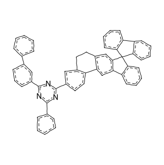 c1ccc(-c2cccc(-c3nc(-c4ccccc4)nc(-c4ccc5c(c4)CCc4cc6c(cc4-5)-c4ccccc4C64c5ccccc5-c5ccccc54)n3)c2)cc1